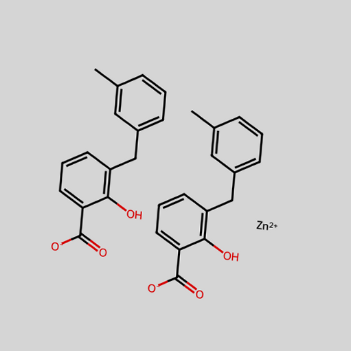 Cc1cccc(Cc2cccc(C(=O)[O-])c2O)c1.Cc1cccc(Cc2cccc(C(=O)[O-])c2O)c1.[Zn+2]